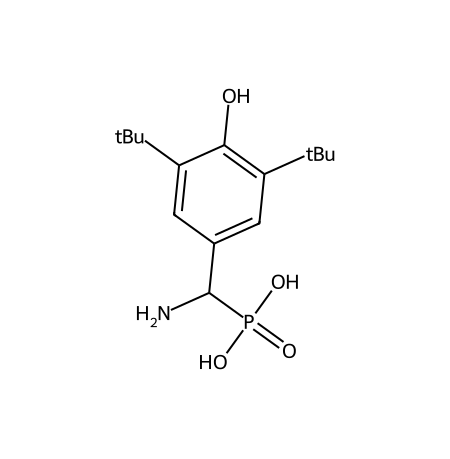 CC(C)(C)c1cc(C(N)P(=O)(O)O)cc(C(C)(C)C)c1O